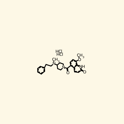 COc1ccc(C(=O)N2CCC(N(C)CCc3ccccc3)CC2)c2ccc(=O)[nH]c12.Cl.Cl